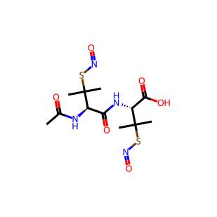 CC(=O)N[C@H](C(=O)N[C@H](C(=O)O)C(C)(C)SN=O)C(C)(C)SN=O